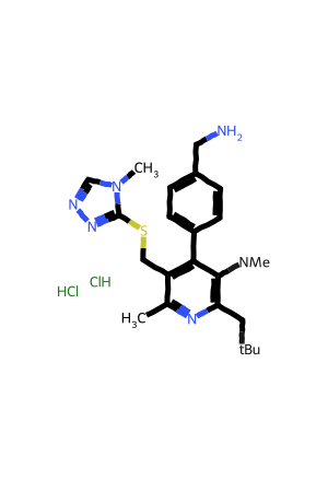 CNc1c(CC(C)(C)C)nc(C)c(CSc2nncn2C)c1-c1ccc(CN)cc1.Cl.Cl